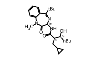 CCCC[C@H](O)[C@@H](CC1CC1)C(=O)N[C@@H]1N=C(C(C)(C)C)c2ccccc2N(C)C1=O